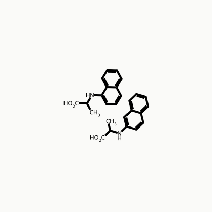 CC(Nc1ccc2ccccc2c1)C(=O)O.CC(Nc1cccc2ccccc12)C(=O)O